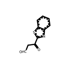 O=CCC(=O)c1nc2ccccc2s1